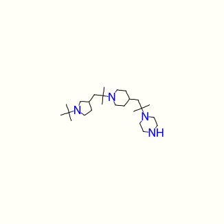 CC(C)(C)N1CCC(CC(C)(C)N2CCC(CC(C)(C)N3CCNCC3)CC2)C1